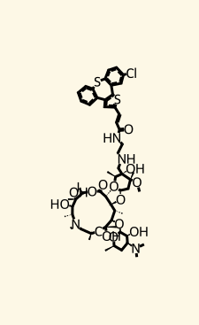 CO[C@]1(C)C[C@H](O[C@H]2[C@H](C)[C@@H](O[C@@H]3O[C@H](C)C[C@H](N(C)C)[C@H]3O)[C@](C)(O)C[C@@H](C)CN(C)[C@H](C)[C@@H](O)[C@](C)(O)[C@@H](I)OC(=O)[C@@H]2C)O[C@@H](C)[C@@]1(O)CNCCNC(=O)/C=C/c1cc2c(s1)-c1cc(Cl)ccc1Sc1ccccc1-2